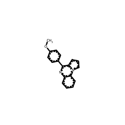 COc1ccc(-c2nc3ccccc3n3cccc23)cc1